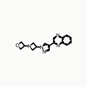 c1ccc2nc(-c3cnn(C4CN(C5COC5)C4)c3)cnc2c1